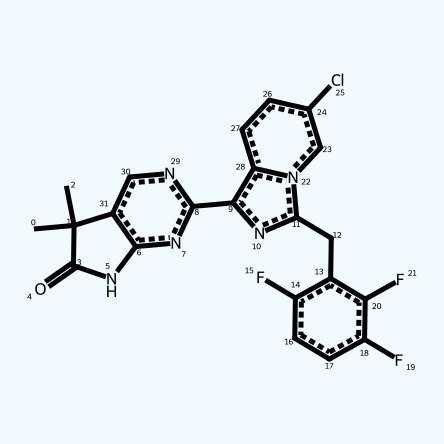 CC1(C)C(=O)Nc2nc(-c3nc(Cc4c(F)ccc(F)c4F)n4cc(Cl)ccc34)ncc21